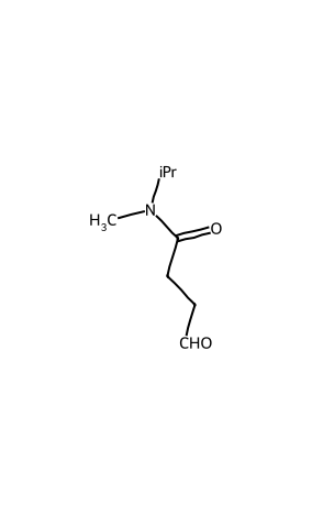 CC(C)N(C)C(=O)CCC=O